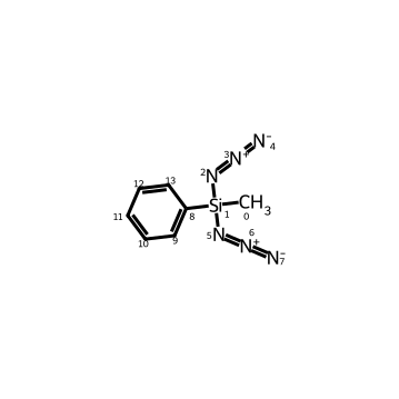 C[Si](N=[N+]=[N-])(N=[N+]=[N-])c1ccccc1